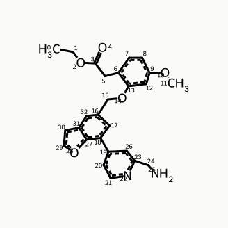 CCOC(=O)Cc1ccc(OC)cc1OCc1cc(-c2ccnc(CN)c2)c2occc2c1